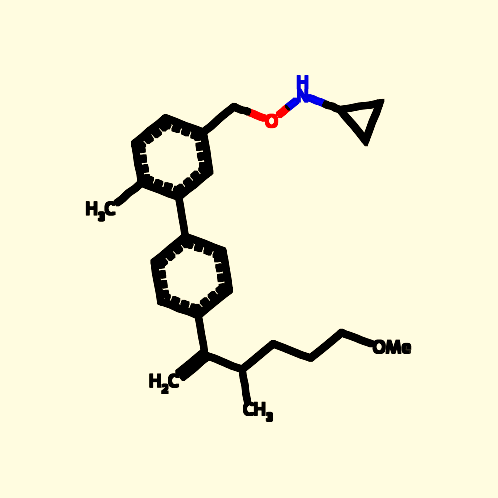 C=C(c1ccc(-c2cc(CONC3CC3)ccc2C)cc1)C(C)CCCOC